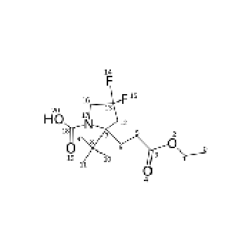 CCOC(=O)CCC1(C(C)(C)C)CC(F)(F)CN1C(=O)O